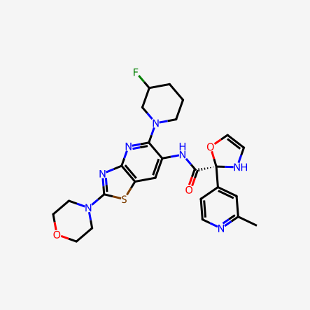 Cc1cc([C@]2(C(=O)Nc3cc4sc(N5CCOCC5)nc4nc3N3CCCC(F)C3)NC=CO2)ccn1